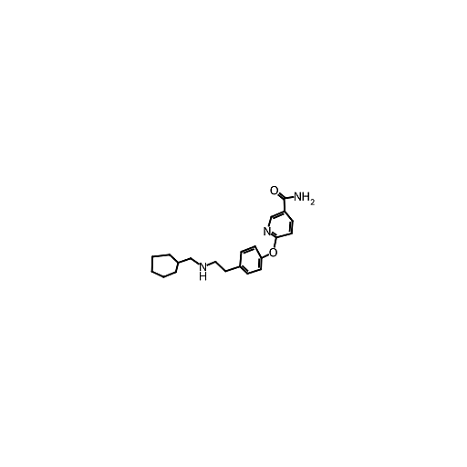 NC(=O)c1ccc(Oc2ccc(CCNCC3CCCCC3)cc2)nc1